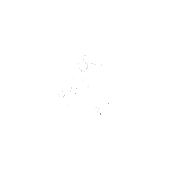 Cc1cc(C)c(CN2CCc3c(c(C)c4c(c3-c3cccn3C)OC(C)([C@H]3CC[C@H](N(C)C)CC3)O4)C2)c(=O)[nH]1